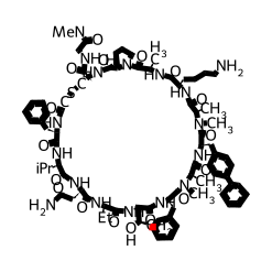 CC[C@@H]1NC(=O)[C@H](CC(N)=O)NC(=O)[C@H](C(C)C)NC(=O)[C@H](Cc2ccccc2)NC(=O)CSC[C@@H](C(=O)NCC(=O)NC)NC(=O)[C@@H]2CCCN2C(=O)[C@H](C)NC(=O)[C@H](CCCCN)NC(=O)[C@H](C)N(C)C(=O)[C@H](Cc2ccc(-c3ccccc3)cc2)NC(=O)[C@H](C)N(C)C(=O)[C@H](Cc2ccccc2)NC(=O)[C@H]([C@@H](C)O)NC1=O